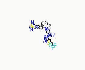 Cc1c(CN2CCC(Nc3ncnc4sc(CC(F)(F)F)cc34)CC2)ccc2c1cc(C#N)n2Cc1nccs1